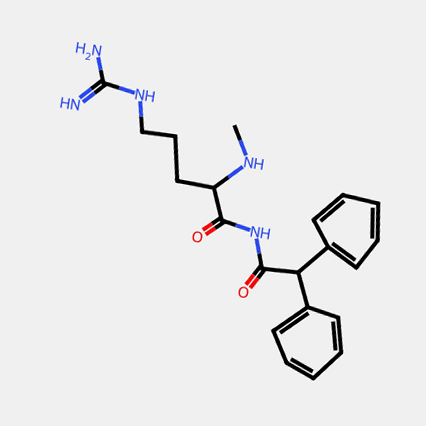 CNC(CCCNC(=N)N)C(=O)NC(=O)C(c1ccccc1)c1ccccc1